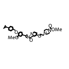 COC(=O)N1CCN(CCOc2ccnc(C(=O)N3CC(c4ccc(OCc5ccc(C6CC6)cc5)c(OC)c4)C3)c2)CC1